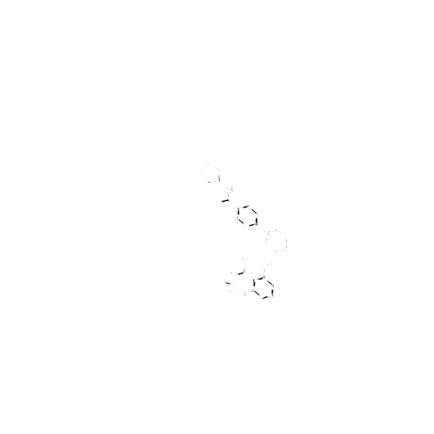 NC1=NS(=O)(=O)Nc2cccc(OC[C@H]3CCCN(c4ccc(C(=O)NC5CCCC5)cn4)C3)c21